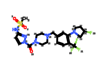 CS(=O)(=O)Nc1ccn(C(=O)N2CCN(Cc3ccc(C(F)(F)F)c(N4CC[C@@H](F)C4)c3)CC2)n1